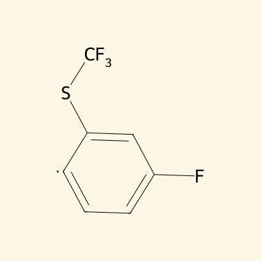 Fc1cc[c]c(SC(F)(F)F)c1